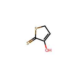 OC1=CCSC1=S